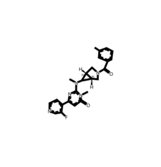 Cc1cccc(C(=O)N2C[C@@H]3C(N(C)c4nc(-c5ccncc5F)cc(=O)n4C)[C@@H]3C2)c1